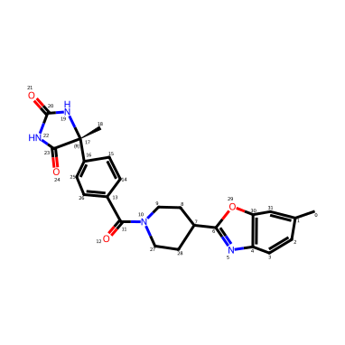 Cc1ccc2nc(C3CCN(C(=O)c4ccc([C@@]5(C)NC(=O)NC5=O)cc4)CC3)oc2c1